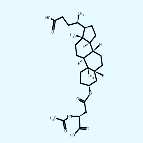 CC(=O)N[C@@H](CC(=O)O[C@H]1CC[C@@]2(C)[C@H](CC[C@@H]3[C@@H]2CC[C@]2(C)[C@@H]([C@H](C)CCC(=O)O)CC[C@@H]32)C1)C(=O)O